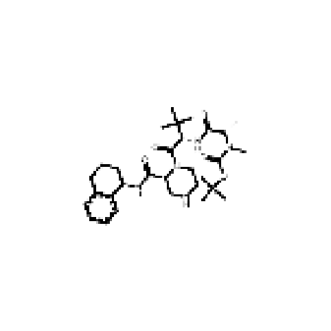 C[C@@H](C(=O)N[C@H](C(=O)N1CCNC[C@H]1C(=O)N[C@@H]1CCCc2ccccc21)C(C)(C)C)N(C)C(=O)OC(C)(C)C